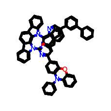 c1ccc(-c2cccc(-c3cnc4c(-n5c6ccccc6c6ccc7c8ccccc8n(-c8nc(-c9ccccc9)cc(-c9ccc%10c(c9)Oc9ccccc9N%10c9ccccc9)n8)c7c65)cccc4c3)c2)cc1